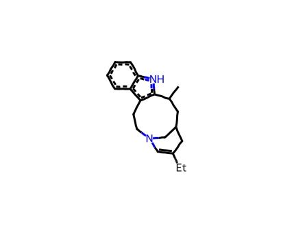 CCC1=CN2CCc3c([nH]c4ccccc34)C(C)CC(C1)C2